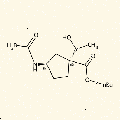 BC(=O)N[C@@H]1CC[C@@](C(=O)OCCCC)(C(C)O)C1